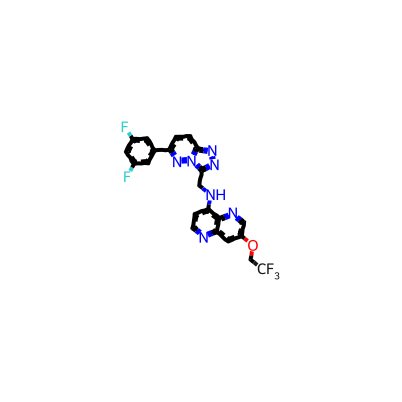 Fc1cc(F)cc(-c2ccc3nnc(CNc4ccnc5cc(OCC(F)(F)F)cnc45)n3n2)c1